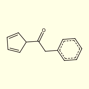 O=C(Cc1ccccc1)C1C=CC=C1